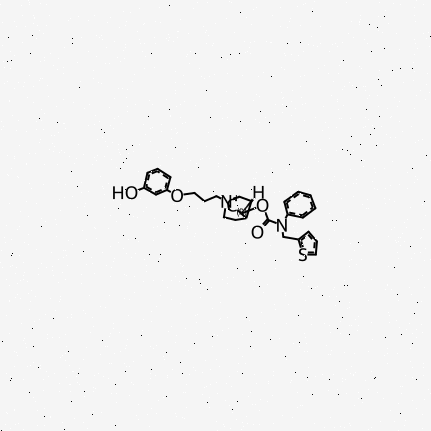 O=C(O[C@H]1C[N+]2(CCCOc3cccc(O)c3)CCC1CC2)N(Cc1cccs1)c1ccccc1